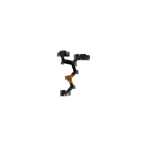 CN/C(=C\C(C)(C)C)CSCC(C)C